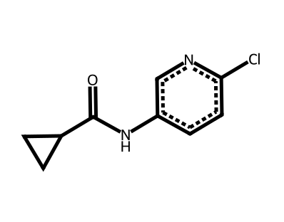 O=C(Nc1ccc(Cl)nc1)C1CC1